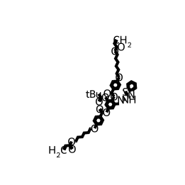 C=CC(=O)OCCCCCCOc1ccc(C(=O)Oc2cc(/C=N/Nc3nc4ccccc4s3)c(OC(=O)c3ccc(OCCCCCCOC(=O)C=C)cc3)c(OC(=O)C(C)(C)C)c2)cc1